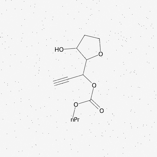 C#CC(OC(=O)OCCC)C1OCCC1O